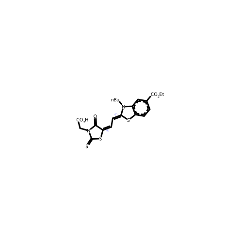 CCCCN1/C(=C/C=C2/SC(=S)N(CC(=O)O)C2=O)Sc2ccc(C(=O)OCC)cc21